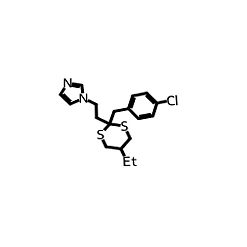 CCC1CSC(CCn2ccnc2)(Cc2ccc(Cl)cc2)SC1